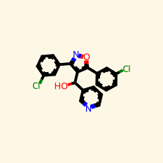 OC(c1cccnc1)c1c(-c2cccc(Cl)c2)noc1-c1cccc(Cl)c1